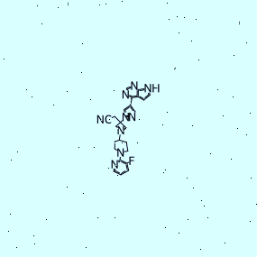 N#CCC1(n2cc(-c3ncnc4[nH]ccc34)cn2)CN(C2CCN(c3ncccc3F)CC2)C1